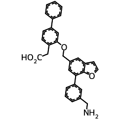 NCc1cccc(-c2cc(COc3cc(-c4ccccc4)ccc3CC(=O)O)cc3ccoc23)c1